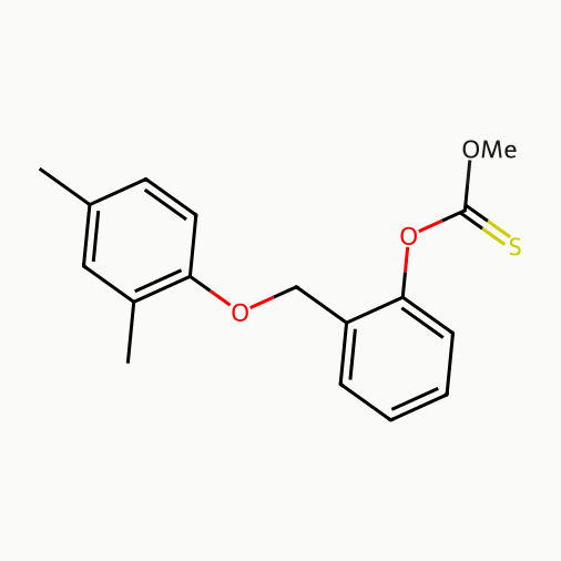 COC(=S)Oc1ccccc1COc1ccc(C)cc1C